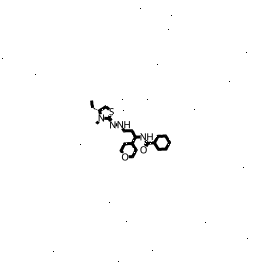 CC[C@@H]1CS/C(=N\NCCC(NC(=O)C2CCCCC2)C2CCOCC2)N1C